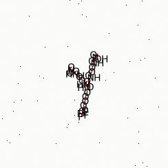 O=C(CCN1C(=O)C=CC1=O)NCCOCCOCCC(=O)NC(CCCCNC(O)CCOCCOCCNC(=O)CCN1C(=O)C=CC1O)C(=O)NCCOCCOCCOCCOCCC(=O)Oc1c(F)c(F)cc(F)c1F